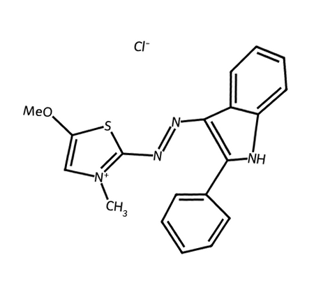 COc1c[n+](C)c(N=Nc2c(-c3ccccc3)[nH]c3ccccc23)s1.[Cl-]